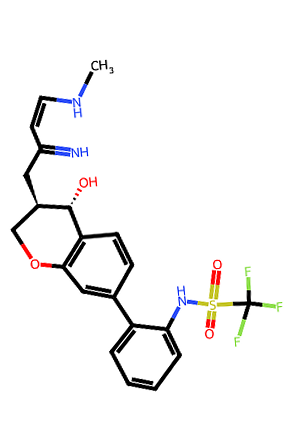 CN/C=C\C(=N)C[C@@H]1COc2cc(-c3ccccc3NS(=O)(=O)C(F)(F)F)ccc2[C@H]1O